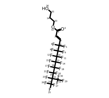 O=C(C=CC(F)(F)C(F)(F)C(F)(F)C(F)(F)C(F)(F)C(F)(F)C(F)(C(F)(F)F)C(F)(F)F)OCCCO